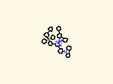 c1ccc(-c2cccc([Si](c3ccccc3)(c3ccccc3)c3cccc(-c4cc(-c5cccc(-n6c7ccccc7c7ccccc76)c5)nc(-n5c6ccccc6c6cc(-c7ccccc7)ccc65)n4)c3)c2)cc1